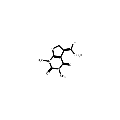 CCC(C(=O)O)=C1COc2c1c(=O)n(C)c(=O)n2C